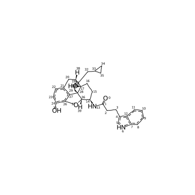 O=C(CCc1c[nH]c2ccccc12)N[C@@H]1CC[C@@]2(O)[C@H]3Cc4ccc(O)c5c4[C@@]2(CCN3CC2CC2)[C@H]1O5